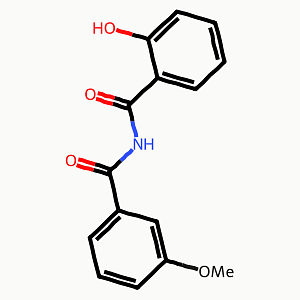 COc1cccc(C(=O)NC(=O)c2ccccc2O)c1